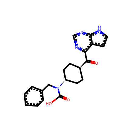 O=C(O)N(Cc1ccccc1)[C@H]1CC[C@H](C(=O)c2ncnc3[nH]ccc23)CC1